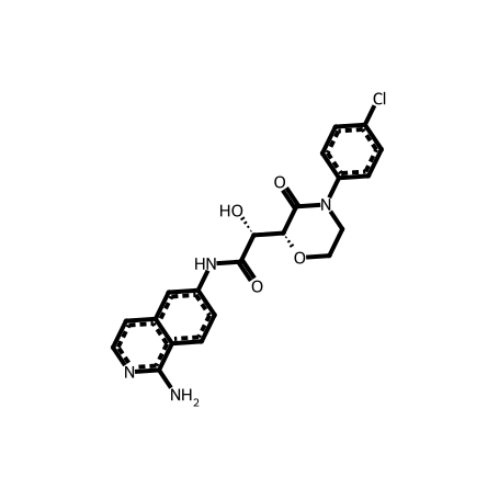 Nc1nccc2cc(NC(=O)[C@H](O)[C@H]3OCCN(c4ccc(Cl)cc4)C3=O)ccc12